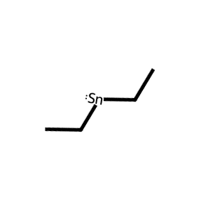 C[CH2][Sn][CH2]C